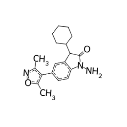 Cc1noc(C)c1-c1ccc2c(c1)C(C1CCCCC1)C(=O)N2N